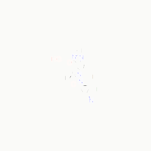 Cc1nc(OCCO)c2cc(N3C(S)N(c4ccc(C#N)c(C(F)(F)F)c4)C(=O)C3(C)C)ccc2n1